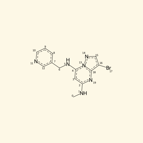 CNc1cc(NCc2cccnc2)n2ncc(Br)c2n1